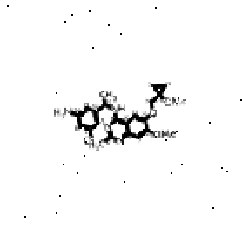 COc1cc2nc(C)nc(NC(C)c3cc(N)cc(C(F)(F)F)c3)c2cc1OCC1(OC)CC1